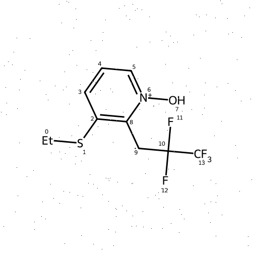 CCSc1ccc[n+](O)c1[CH]C(F)(F)C(F)(F)F